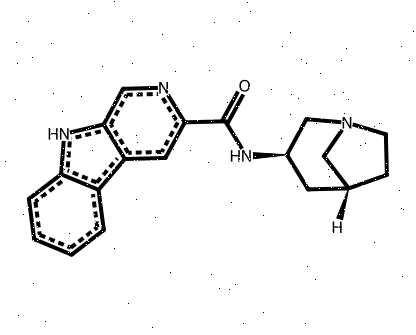 O=C(N[C@@H]1C[C@H]2CCN(C2)C1)c1cc2c(cn1)[nH]c1ccccc12